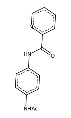 CC(=O)Nc1ccc(NC(=O)c2ccccn2)cc1